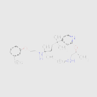 C[C@@H](CNC(C)(C)C)Oc1cc(C(C)(C)CCC(C)(C)NCCOc2cccc(C(C)(C)C)c2)ccn1